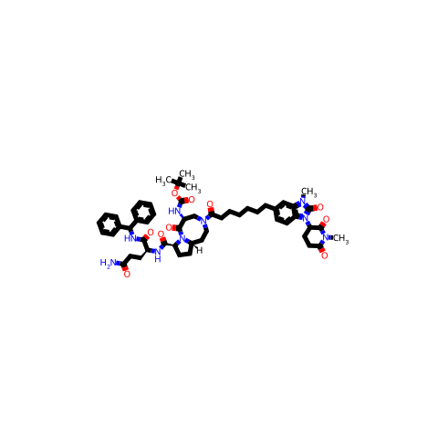 CN1C(=O)CCC(n2c(=O)n(C)c3cc(CCCCCCC(=O)N4CC[C@H]5CC[C@@H](C(=O)N[C@@H](CCC(N)=O)C(=O)NC(c6ccccc6)c6ccccc6)N5C(=O)[C@@H](NC(=O)OC(C)(C)C)C4)ccc32)C1=O